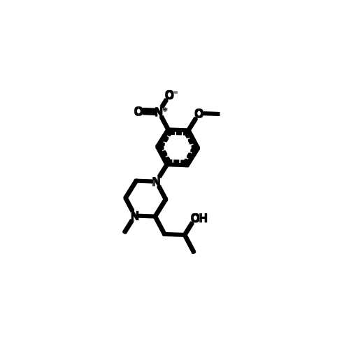 COc1ccc(N2CCN(C)C(CC(C)O)C2)cc1[N+](=O)[O-]